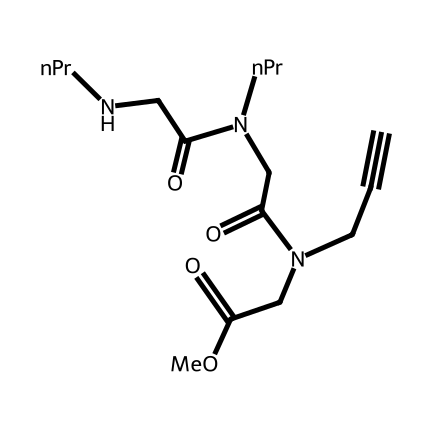 C#CCN(CC(=O)OC)C(=O)CN(CCC)C(=O)CNCCC